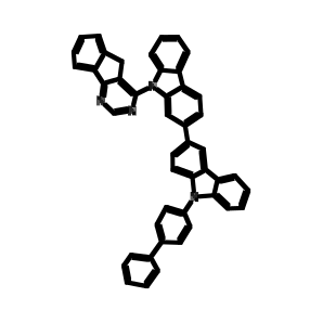 c1ccc(-c2ccc(-n3c4ccccc4c4cc(-c5ccc6c7ccccc7n(-c7ncnc8c7Cc7ccccc7-8)c6c5)ccc43)cc2)cc1